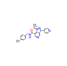 CCc1ccc(CNC(=O)c2cncc3c(-c4ccncc4)nn(C)c23)cc1